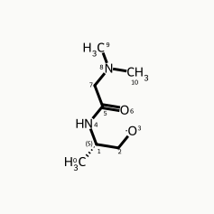 C[C@@H](C[O])NC(=O)CN(C)C